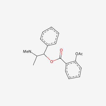 CNC(C)C(OC(=O)c1ccccc1OC(C)=O)c1ccccc1